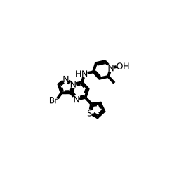 CC1C=C(Nc2cc(-c3cccs3)nc3c(Br)cnn23)C=CN1O